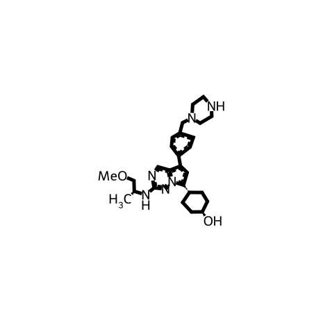 COC[C@H](C)Nc1ncc2c(-c3ccc(CN4CCNCC4)cc3)cc([C@H]3CC[C@H](O)CC3)n2n1